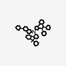 CC1(c2ccccc2)c2ccccc2-c2c(N(c3ccc4cc(-c5ccccc5)ccc4c3)c3ccc4c(c3)c(-c3ccccc3)c(-c3ccccc3)c3ccccc34)cccc21